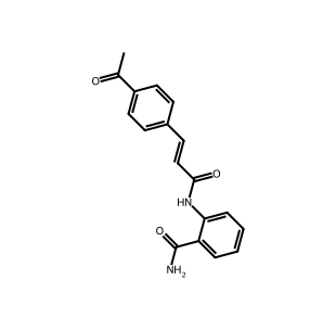 CC(=O)c1ccc(/C=C/C(=O)Nc2ccccc2C(N)=O)cc1